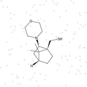 CC1(C)[C@@H]2CC[C@@]1(CS)[C@H](N1CCOCC1)C2